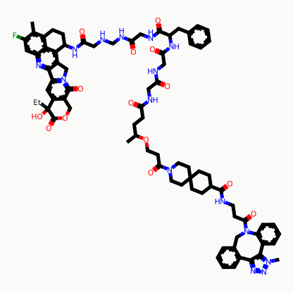 CCC1(O)C(=O)OCc2c1cc1n(c2=O)Cc2c-1nc1cc(F)c(C)c3c1c2C(NC(=O)CNCNC(=O)CNC(=O)C(Cc1ccccc1)NC(=O)CNC(=O)CNC(=O)CCC(C)OCCC(=O)N1CCC2(CCC(C(=O)NCCC(=O)N4Cc5ccccc5-c5nnn(C)c5-c5ccccc54)CC2)CC1)CC3